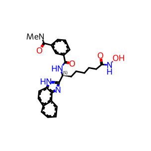 CNC(=O)c1cccc(C(=O)N[C@@H](CCCCCC(=O)NO)c2nc3c(ccc4ccccc43)[nH]2)c1